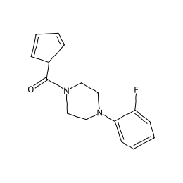 O=C(C1C=CC=C1)N1CCN(c2ccccc2F)CC1